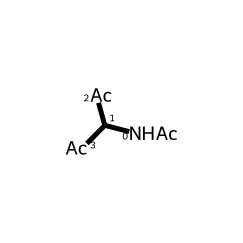 CC(=O)NC(C(C)=O)C(C)=O